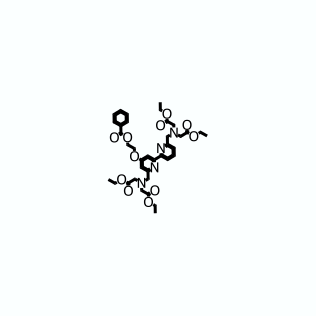 CCOC(=O)CN(CC(=O)OCC)Cc1cccc(-c2cc(OCCOC(=O)c3ccccc3)cc(CN(CC(=O)OCC)CC(=O)OCC)n2)n1